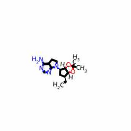 C=C[C@H]1C[C@@H](N2CCc3c(N)ncnc32)[C@H]2OC(C)(C)O[C@H]21